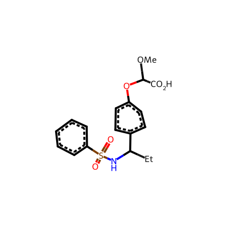 CCC(NS(=O)(=O)c1ccccc1)c1ccc(OC(OC)C(=O)O)cc1